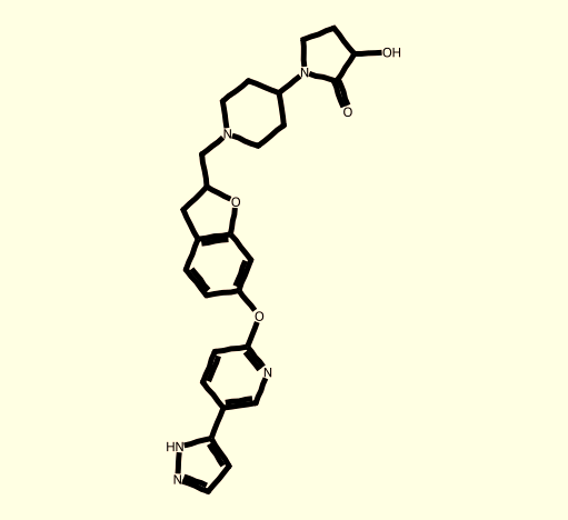 O=C1C(O)CCN1C1CCN(CC2Cc3ccc(Oc4ccc(-c5ccn[nH]5)cn4)cc3O2)CC1